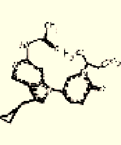 CC(=O)Nc1cc2c(cn1)c(C1CC1)cn2-c1ccc(=O)n(C(C)C)c1